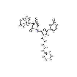 O=C1/C(=C/c2oc(-c3cccc(Cl)c3)cc2CCCCCN2CCCCC2)SC(=S)N1C1C2CC3CC(C2)CC1C3